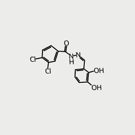 O=C(N/N=C\c1cccc(O)c1O)c1ccc(Cl)c(Cl)c1